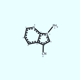 N#Cc1cn(P)c2ncccc12